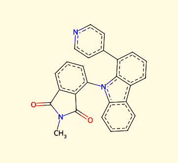 CN1C(=O)c2cccc(-n3c4ccccc4c4cccc(-c5ccncc5)c43)c2C1=O